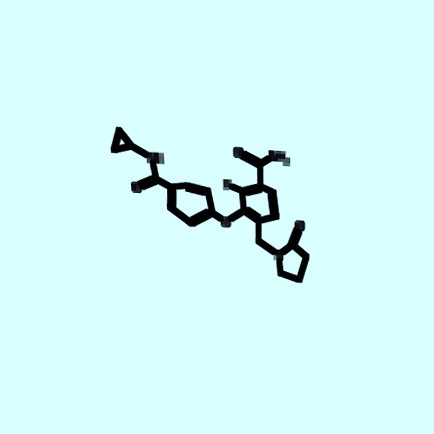 NC(=O)c1ccc(CN2CCCC2=O)c(Oc2ccc(C(=O)NC3CC3)cc2)c1F